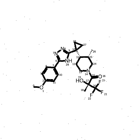 COc1ccc(-c2nnc(C3([C@H]4CCN(C(=O)[C@@](C)(O)C(F)(F)F)C[C@H]4C)CC3)[nH]2)cc1